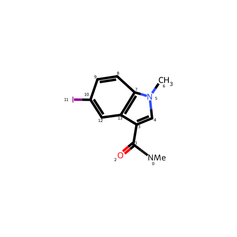 CNC(=O)c1cn(C)c2ccc(I)cc12